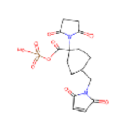 O=C1C=CC(=O)N1CC1CCC(C(=O)OS(=O)(=O)O)(N2C(=O)CCC2=O)CC1